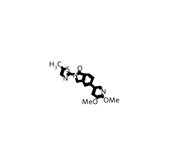 COc1cc(-c2ccc3c(c2)CN(c2ncc(C)s2)C3=O)cnc1OC